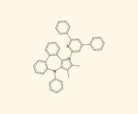 Cc1c2c(n(-c3cc(-c4ccccc4)cc(-c4ccccc4)n3)c1C)-c1ccccc1-c1ccccc1N2c1ccccc1